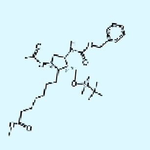 COC(=O)CCCCCCC1[C@@H](CO[Si](C)(C)C(C)(C)C)C(NC(=O)OCc2ccccc2)C[C@@H]1OC(C)=O